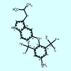 CC(C)Cc1c[nH]c2ccc(Oc3c(C(F)(F)F)cc(N)cc3C(F)(F)F)cc12